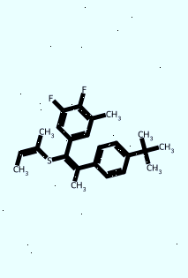 C/C=C(/C)S/C(=C(\C)c1ccc(C(C)(C)C)cc1)c1cc(C)c(F)c(F)c1